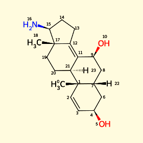 C[C@]12C=C[C@H](O)C[C@H]1C[C@H](O)C1=C3CC[C@H](N)[C@@]3(C)CC[C@@H]12